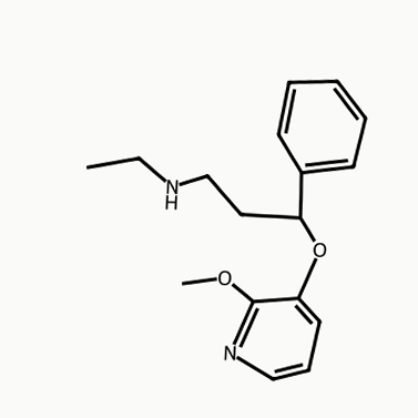 CCNCCC(Oc1cccnc1OC)c1ccccc1